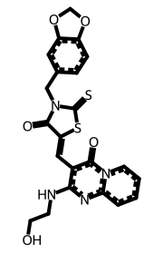 O=C1C(=Cc2c(NCCO)nc3ccccn3c2=O)SC(=S)N1Cc1ccc2c(c1)OCO2